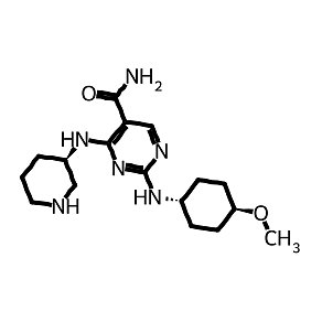 CO[C@H]1CC[C@H](Nc2ncc(C(N)=O)c(N[C@@H]3CCCNC3)n2)CC1